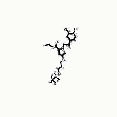 CCOC(=O)c1cc(OCCCO[Si](C)(C)C(C)(C)C)nn1CC(=O)c1ccc(F)c(Cl)c1